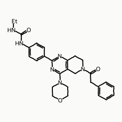 CCNC(=O)Nc1ccc(-c2nc3c(c(N4CCOCC4)n2)CN(C(=O)Cc2ccccc2)CC3)cc1